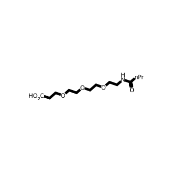 CCCC(=O)NCCOCCOCCOCCC(=O)O